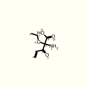 C=CC(=O)C(N)(OCC)C(=O)O